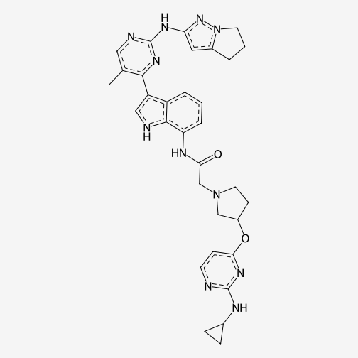 Cc1cnc(Nc2cc3n(n2)CCC3)nc1-c1c[nH]c2c(NC(=O)CN3CCC(Oc4ccnc(NC5CC5)n4)C3)cccc12